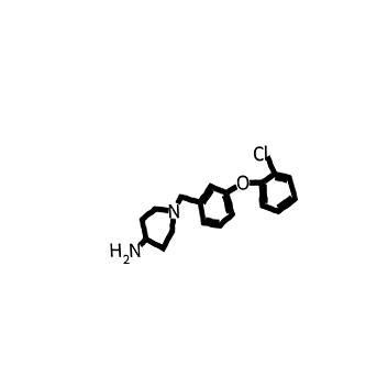 NC1CCN(Cc2cccc(Oc3ccccc3Cl)c2)CC1